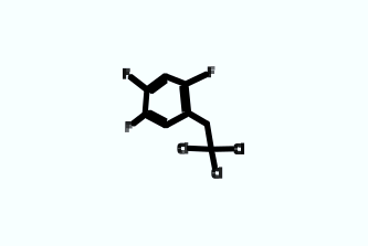 Fc1cc(F)c(CC(Cl)(Cl)Cl)cc1F